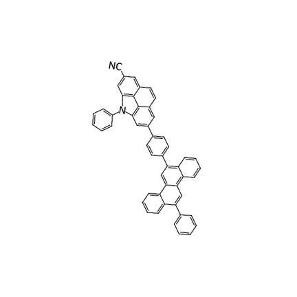 N#Cc1cc2ccc3cc(-c4ccc(-c5cc6c7ccccc7c(-c7ccccc7)cc6c6ccccc56)cc4)cc4c3c2c(c1)n4-c1ccccc1